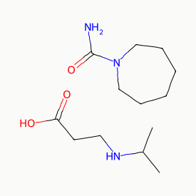 CC(C)NCCC(=O)O.NC(=O)N1CCCCCC1